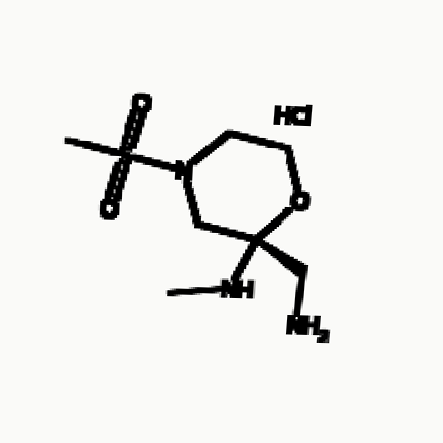 CN[C@]1(CN)CN(S(C)(=O)=O)CCO1.Cl